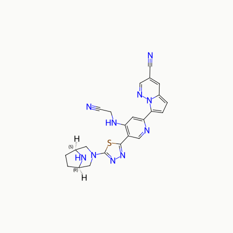 N#CCNc1cc(-c2ccc3cc(C#N)cnn23)ncc1-c1nnc(N2C[C@H]3CC[C@@H](C2)N3)s1